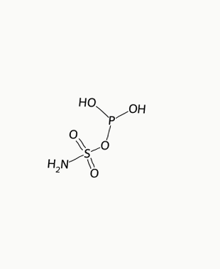 NS(=O)(=O)OP(O)O